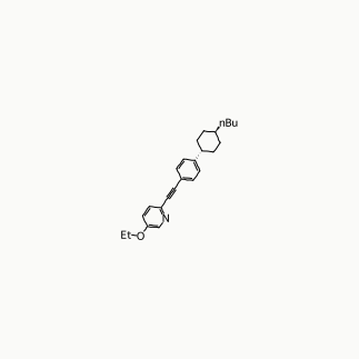 CCCC[C@H]1CC[C@H](c2ccc(C#Cc3ccc(OCC)cn3)cc2)CC1